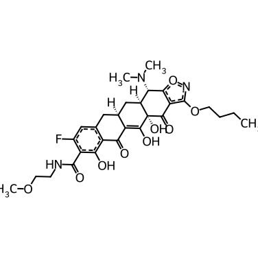 CCCCOc1noc2c1C(=O)[C@@]1(O)C(O)=C3C(=O)c4c(cc(F)c(C(=O)NCCOC)c4O)C[C@H]3C[C@H]1[C@@H]2N(C)C